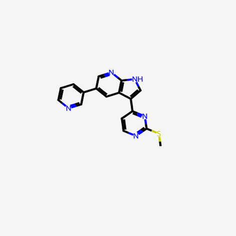 CSc1nccc(-c2c[nH]c3ncc(-c4cccnc4)cc23)n1